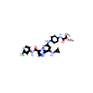 CN[C@@H](C)C(=O)NC1CCC(Nc2cc(NC3CC3)c3ncc(C(=O)Nc4ccnc(Cl)c4)n3n2)CC1